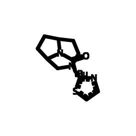 CC(C)(C)C(=O)N1C2CCC1CN(c1nccs1)CC2